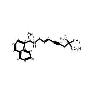 C[C@@H](NC/C=C/C#CCC(C)(C)C(=O)O)c1cccc2ccccc12